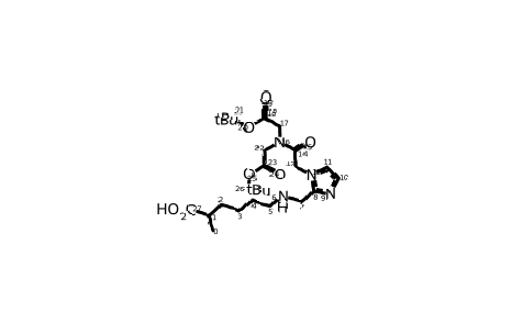 CC(CCCCNCc1nccn1CC(=O)N(CC(=O)OC(C)(C)C)CC(=O)OC(C)(C)C)C(=O)O